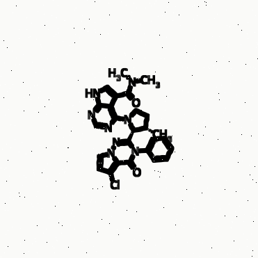 C[C@H]1CCN(c2ncnc3[nH]cc(C(=O)N(C)C)c23)[C@@H]1c1nn2ccc(Cl)c2c(=O)n1-c1ccccc1